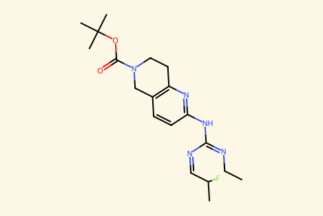 CC/N=C(\N=C/C(C)F)Nc1ccc2c(n1)CCN(C(=O)OC(C)(C)C)C2